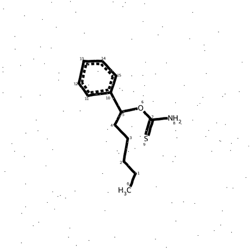 CCCCCC(OC(N)=S)c1ccccc1